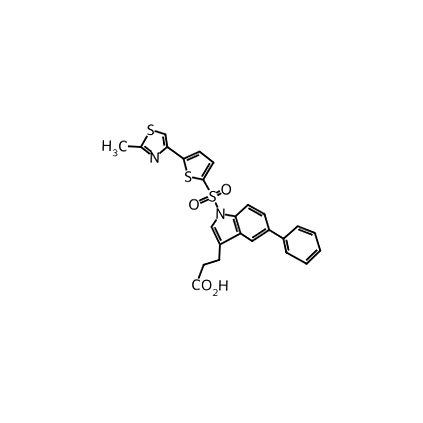 Cc1nc(-c2ccc(S(=O)(=O)n3cc(CCC(=O)O)c4cc(-c5ccccc5)ccc43)s2)cs1